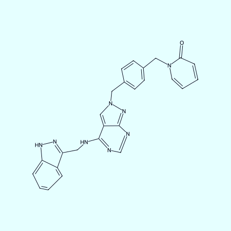 O=c1ccccn1Cc1ccc(Cn2cc3c(NCc4n[nH]c5ccccc45)ncnc3n2)cc1